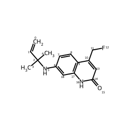 C=CC(C)(C)Nc1ccc2c(CF)cc(=O)[nH]c2c1